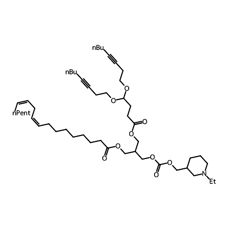 CCCCC#CCCOC(CCC(=O)OCC(COC(=O)CCCCCCC/C=C\C/C=C\CCCCC)COC(=O)OCC1CCCN(CC)C1)OCCC#CCCCC